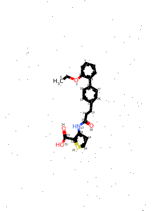 CCOc1ccccc1-c1ccc(CCC(=O)Nc2ccsc2C(=O)O)cc1